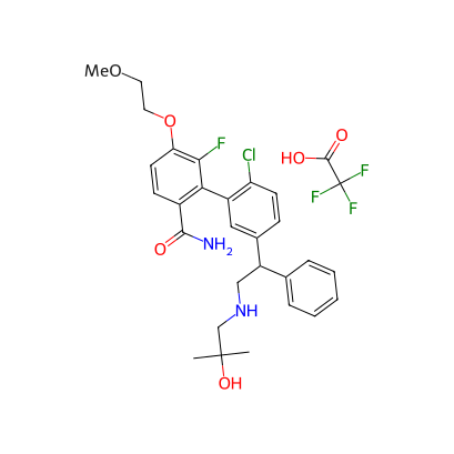 COCCOc1ccc(C(N)=O)c(-c2cc(C(CNCC(C)(C)O)c3ccccc3)ccc2Cl)c1F.O=C(O)C(F)(F)F